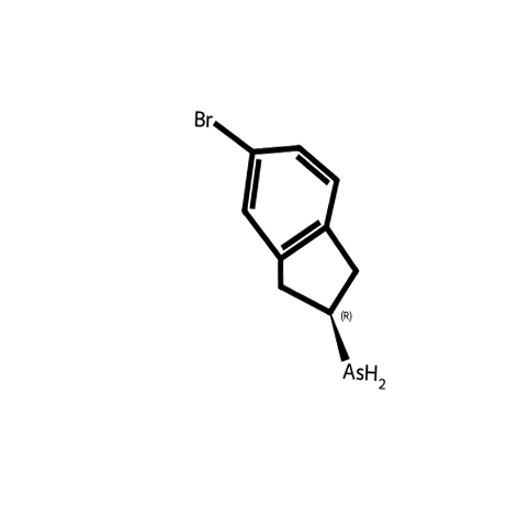 [AsH2][C@@H]1Cc2ccc(Br)cc2C1